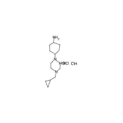 Cl.Cl.Cl.NC1CCC(N2CCN(CC3CC3)CC2)CC1